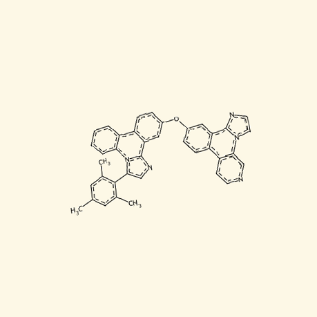 Cc1cc(C)c(-c2cnc3c4cc(Oc5ccc6c7ccncc7n7ccnc7c6c5)ccc4c4ccccc4n23)c(C)c1